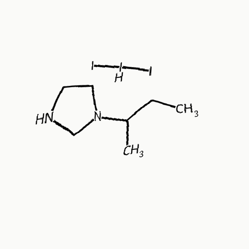 CCC(C)N1CCNC1.I[IH]I